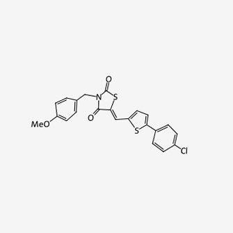 COc1ccc(CN2C(=O)S/C(=C\c3ccc(-c4ccc(Cl)cc4)s3)C2=O)cc1